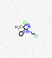 Cc1c(Cl)nnc(NCC=CCl)c1-c1ccccc1